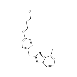 Cc1cccn2cc(Cc3ccc(OCCCCl)cc3)nc12